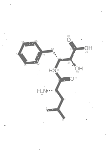 CC(C)C[C@H](N)C(=O)N[C@H](Cc1ccccc1)[C@H](O)C(=O)O